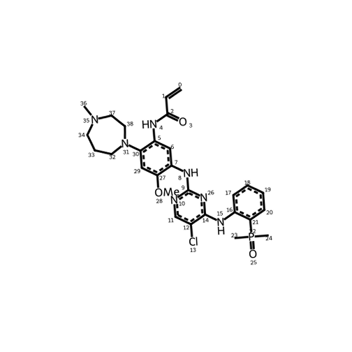 C=CC(=O)Nc1cc(Nc2ncc(Cl)c(Nc3ccccc3P(C)(C)=O)n2)c(OC)cc1N1CCCN(C)CC1